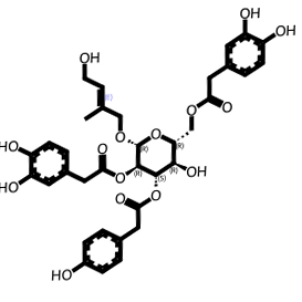 C/C(=C\CO)CO[C@@H]1O[C@H](COC(=O)Cc2ccc(O)c(O)c2)[C@@H](O)[C@H](OC(=O)Cc2ccc(O)cc2)[C@H]1OC(=O)Cc1ccc(O)c(O)c1